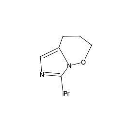 CC(C)c1ncc2n1OCCC2